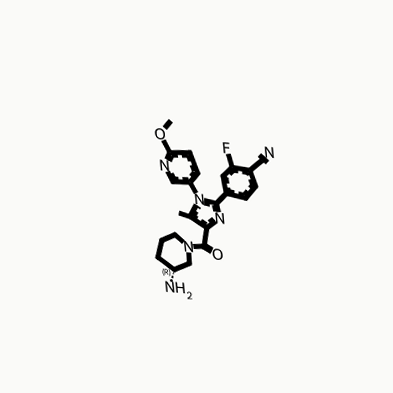 COc1ccc(-n2c(-c3ccc(C#N)c(F)c3)nc(C(=O)N3CCC[C@@H](N)C3)c2C)cn1